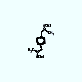 CCCCCCCCN(C)Cc1ccc(CN(C)CCCCCCCC)cc1